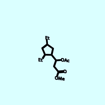 CCC1CC(CC)C(C(CC(=O)OC)OC(C)=O)C1